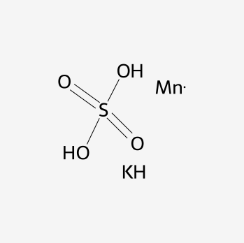 O=S(=O)(O)O.[KH].[Mn]